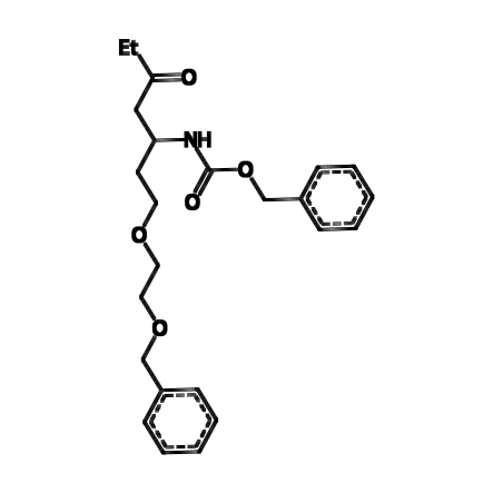 CCC(=O)CC(CCOCCOCc1ccccc1)NC(=O)OCc1ccccc1